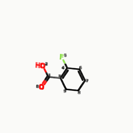 O=C(O)C1=C(F)C=CCC1